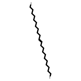 ICCCCCCCCCCC=CCCCCCCCCCCI